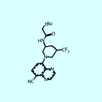 CC(C)(C)CC(=O)NC1CC(C(F)(F)F)CN(c2ccc(C#N)c3nccnc23)C1